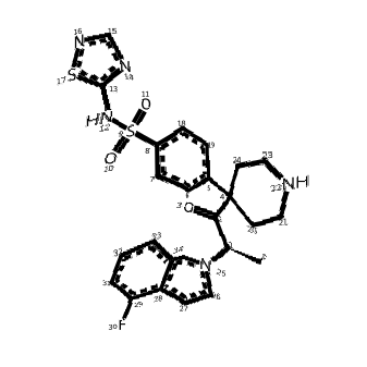 C[C@H](C(=O)C1(c2ccc(S(=O)(=O)Nc3ncns3)cc2)CCNCC1)n1ccc2c(F)cccc21